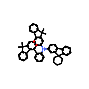 CC1(C)c2ccccc2-c2ccc(N(c3ccc4c(c3)C3(CCCCC3)c3ccccc3-4)c3ccccc3-c3cccc4c3-c3ccccc3C4(C)C)cc21